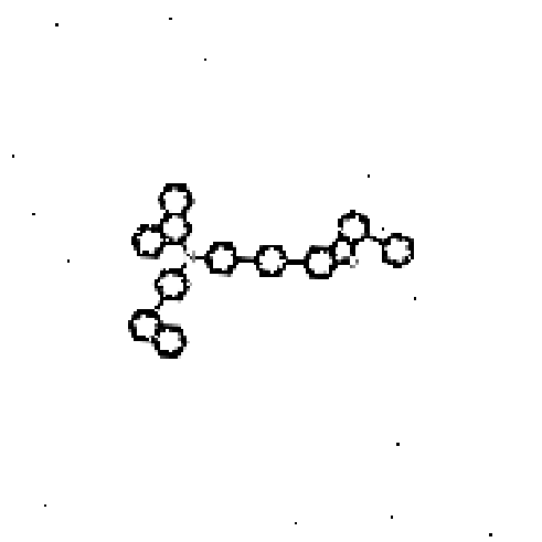 c1ccc(-c2cccc3c2oc2ccc(-c4ccc(-c5ccc(N(c6ccc(-c7cccc8ccccc78)cc6)c6cc7ccccc7c7ccccc67)cc5)cc4)cc23)cc1